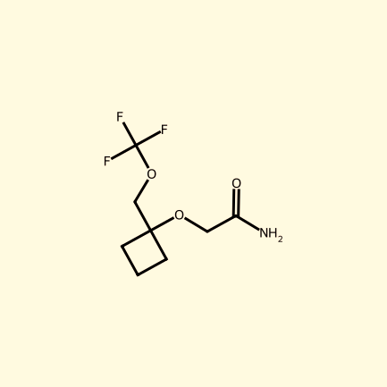 NC(=O)COC1(COC(F)(F)F)CCC1